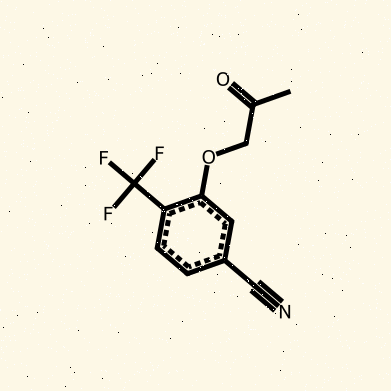 CC(=O)COc1cc(C#N)ccc1C(F)(F)F